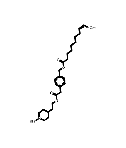 CCCCCCCC/C=C\CCCCCCCC(=O)OCc1ccc(CC(=O)OCCC2CCN(CCC)CC2)cc1